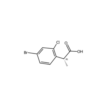 C[C@@H](C(=O)O)c1ccc(Br)cc1Cl